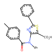 Cc1ccc(C(=O)N(c2nc(-c3ccccc3)sc2C(=O)O)C(C)C)cc1